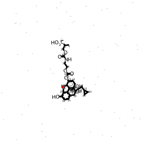 CC(COC(=O)NCCOC(=O)OC1=CC[C@@]2(O)[C@H]3Cc4ccc(O)c5c4[C@@]2(CCN3CC2CC2)[C@H]1O5)C(=O)O